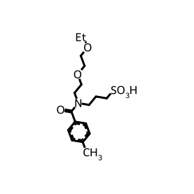 CCOCCOCCN(CCCS(=O)(=O)O)C(=O)c1ccc(C)cc1